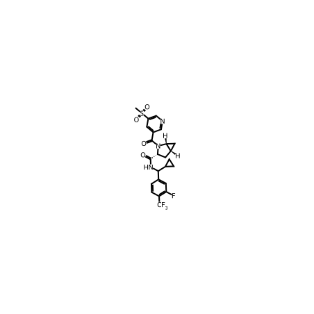 CS(=O)(=O)c1cncc(C(=O)N2[C@@H](C(=O)NC(c3ccc(C(F)(F)F)c(F)c3)C3CC3)C[C@H]3C[C@H]32)c1